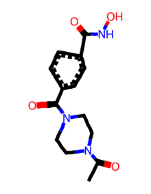 CC(=O)N1CCN(C(=O)c2ccc(C(=O)NO)cc2)CC1